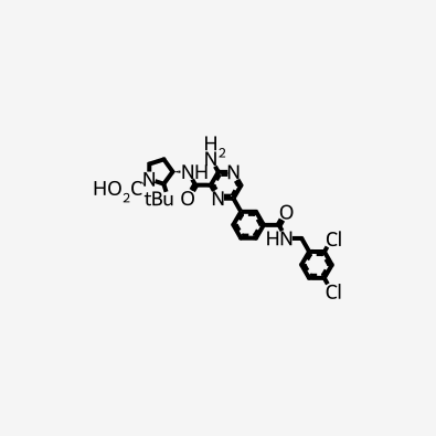 CC(C)(C)C1[C@@H](NC(=O)c2nc(-c3cccc(C(=O)NCc4ccc(Cl)cc4Cl)c3)cnc2N)CCN1C(=O)O